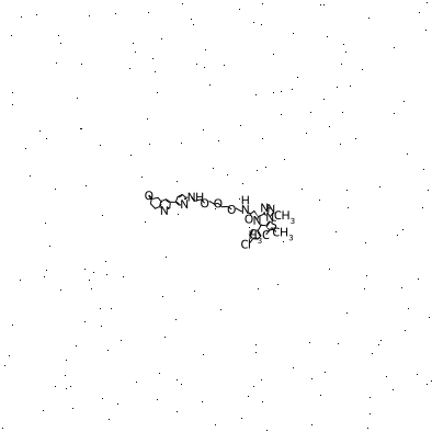 Cc1sc2c(c1C)C(c1ccc(Cl)cc1)=N[C@@H](CC(=O)NCCOCCOCCOCCNc1ccc(-c3cnc4c(c3)CC(=O)CC4)cn1)c1nnc(C)n1-2